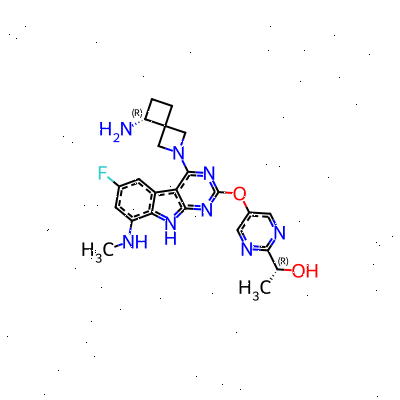 CNc1cc(F)cc2c1[nH]c1nc(Oc3cnc([C@@H](C)O)nc3)nc(N3CC4(CC[C@H]4N)C3)c12